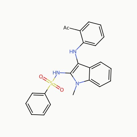 CC(=O)c1ccccc1Nc1c(NS(=O)(=O)c2ccccc2)n(C)c2ccccc12